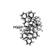 C[SiH](C)[Zr]([C]1=c2cccc(-c3ccccc3)c2=C(c2ccccc2)C1(O[SiH3])C(C)(C)C)[C]1=c2cccc(-c3ccccc3)c2=C(c2ccccc2)C1(O[SiH3])C(C)(C)C.Cl.Cl